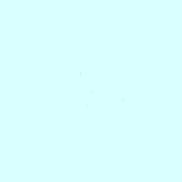 C=C(C)C(=O)O.C=C(C)C(=O)O.C=C(C)C(=O)O.CC(=O)O